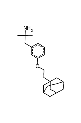 CC(C)(N)Cc1cccc(OCCC23CC4CC(CC(C4)C2)C3)c1